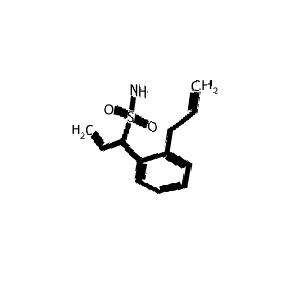 C=CCc1ccccc1C(C=C)S([NH])(=O)=O